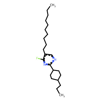 CCCCCCCCCCc1cnc(C2CCC(CCC)CC2)nc1F